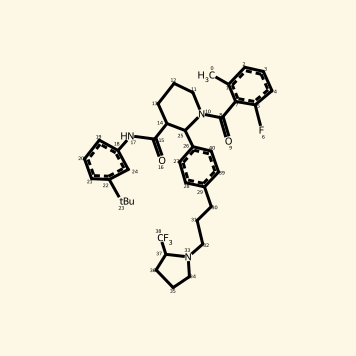 Cc1cccc(F)c1C(=O)N1CCCC(C(=O)Nc2cccc(C(C)(C)C)c2)C1c1ccc(CCCN2CCCC2C(F)(F)F)cc1